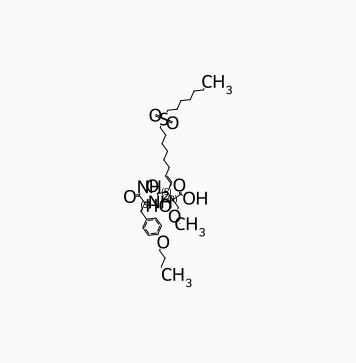 CCCCCCCS(=O)(=O)CCCCCCC=C[C@H](C(=O)N[C@@H](Cc1ccc(OCCCC)cc1)C(N)=O)[C@@](O)(COC)C(=O)O